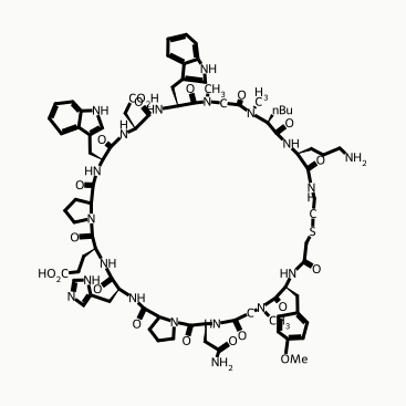 CCCC[C@H]1C(=O)N[C@@H](CCCN)C(=O)NCCSCC(=O)N[C@@H](Cc2ccc(OC)cc2)C(=O)N(C)CC(=O)N[C@@H](CC(N)=O)C(=O)N2CCCC2C(=O)N[C@@H](Cc2cnc[nH]2)C(=O)N[C@@H](CCC(=O)O)C(=O)N2CCCC2C(=O)N[C@@H](Cc2c[nH]c3ccccc23)C(=O)N[C@@H](CC(=O)O)C(=O)N[C@@H](Cc2c[nH]c3ccccc23)C(=O)N(C)CC(=O)N1C